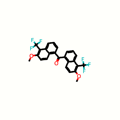 COc1ccc2c(C(=O)c3cccc4c(C(F)(F)F)c(OC)ccc34)cccc2c1C(F)(F)F